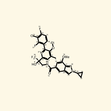 CCOc1c(C)cc([C@@](O)(CNC(=O)c2cc(OC)c3nn(C4CC4)cc3c2)C(F)(F)F)nc1-c1ccc(F)c(Cl)c1F